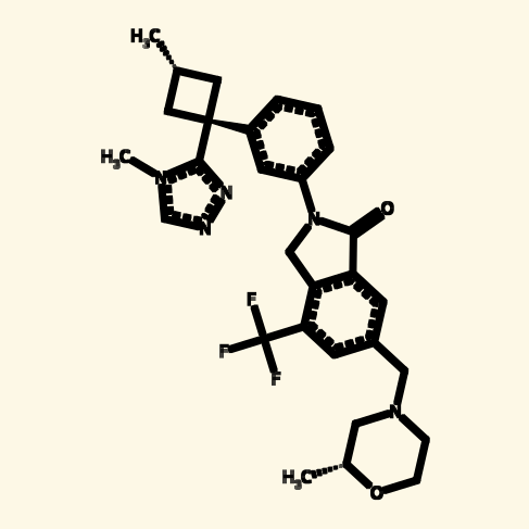 C[C@@H]1CN(Cc2cc3c(c(C(F)(F)F)c2)CN(c2cccc([C@]4(c5nncn5C)C[C@@H](C)C4)c2)C3=O)CCO1